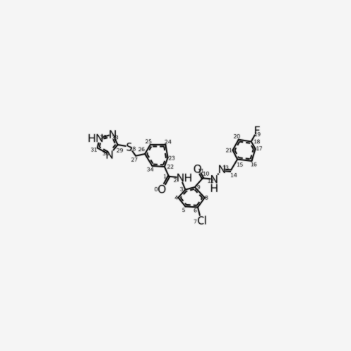 O=C(Nc1ccc(Cl)cc1C(=O)NN=Cc1ccc(F)cc1)c1cccc(CSc2nc[nH]n2)c1